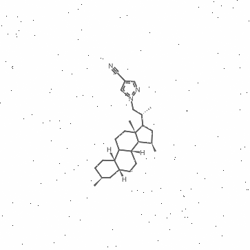 C[C@H]1CC[C@@H]2C3CC[C@@]4(C)C([C@@H]3CC[C@@H]2C1)[C@H](C)CC4[C@@H](C)Cn1cc(C#N)cn1